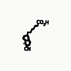 N#Cc1[c]c2ccc(CC/C=C/C=C/C(=O)O)cc2cc1